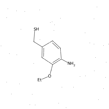 CCOc1cc(CS)ccc1N